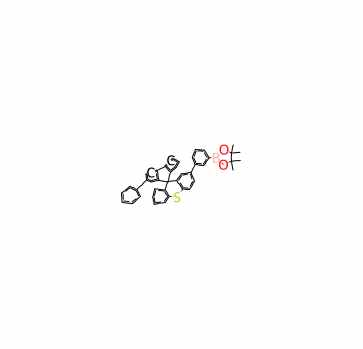 CC1(C)OB(c2cccc(-c3ccc4c(c3)C3(c5ccccc5S4)c4ccccc4-c4ccc(-c5ccccc5)cc43)c2)OC1(C)C